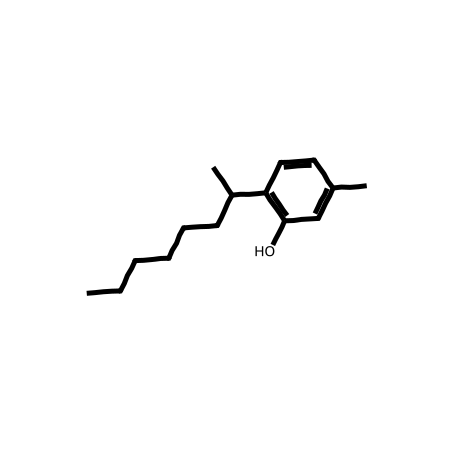 CCCCCCC(C)c1ccc(C)cc1O